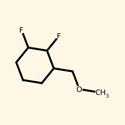 COCC1CCCC(F)C1F